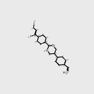 C=CC1CCC(C2COC(C3CCC(/C(F)=C/CF)CC3)OC2)CC1